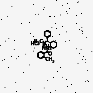 Cc1ccccc1C(=O)N[C@@H]1CCCC[C@@H]1C(c1ccccc1)N(C)C.Cl